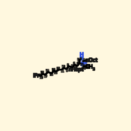 CCCCCCCCc1[nH]cc(CCCCCCCCCCCCCCCC(C)C)[n+]1C(C)CCCCCCC